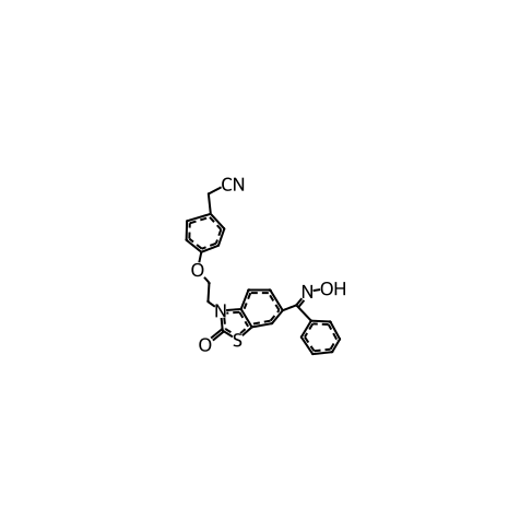 N#CCc1ccc(OCCn2c(=O)sc3cc(/C(=N/O)c4ccccc4)ccc32)cc1